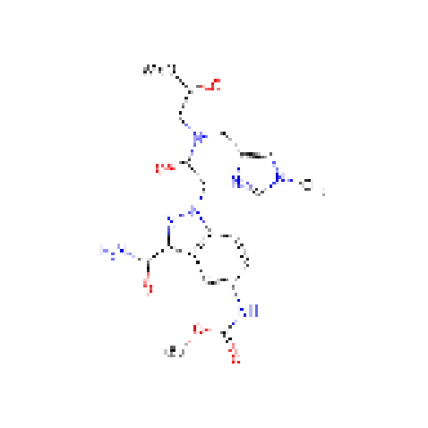 COC(=O)CN(Cc1cn(C)cn1)C(=O)Cn1nc(C(N)=O)c2cc(NC(=O)OC(C)(C)C)ccc21